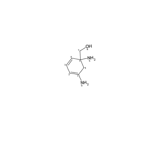 NC1=CC=CC(N)(CO)C1